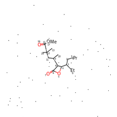 CCC(CC(C)C)C1OC(=O)C1C(C)CC(C)(C)C(=O)OC